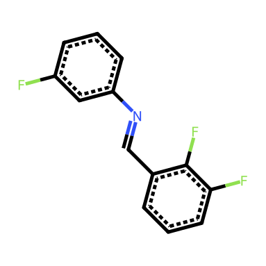 Fc1cccc(N=Cc2cccc(F)c2F)c1